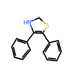 [CH]1NC(c2ccccc2)=C(c2ccccc2)S1